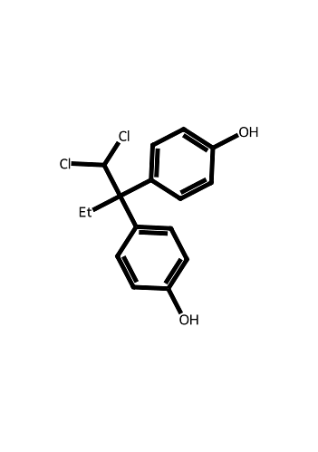 CCC(c1ccc(O)cc1)(c1ccc(O)cc1)C(Cl)Cl